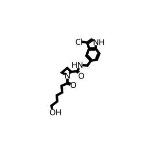 O=C(NCc1ccc2[nH]cc(Cl)c2c1)C1CCN1C(=O)CCCCCO